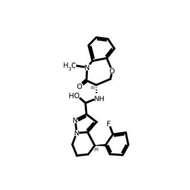 CN1C(=O)[C@@H](NC(O)c2cc3n(n2)CCC[C@@H]3c2ccccc2F)COc2ccccc21